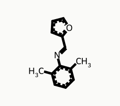 Cc1cccc(C)c1N=Cc1ccco1